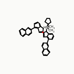 [CH3][Hf]([CH3])(=[C]1CCCC1)([CH]1C=Cc2c(-c3ccc4ccccc4c3)cccc21)[CH]1C=Cc2c(-c3ccc4ccccc4c3)cccc21